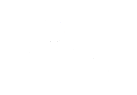 CCCCCCC(=O)c1ccccc1CN